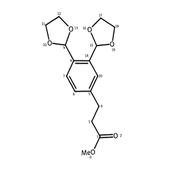 COC(=O)CCc1ccc(C2OCCO2)c(C2OCCO2)c1